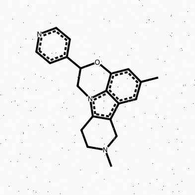 Cc1cc2c3c(c1)c1c(n3CC(c3ccncc3)O2)CCN(C)C1